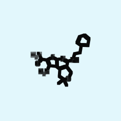 CC1(C)Cc2c(c(NCCc3ccccc3)nc3sc(C(N)=O)c(N)c23)CO1